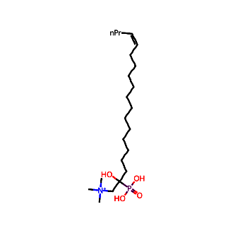 CCC/C=C\CCCCCCCCCCCCC(O)(C[N+](C)(C)C)P(=O)(O)O